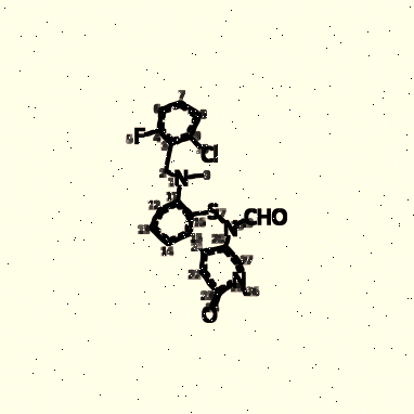 CN(Cc1c(F)cccc1Cl)c1ccccc1SN(C=O)c1ccc(=O)n(C)c1